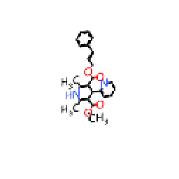 COC(=O)C1=C(C)NC(C)=C(C(=O)OC/C=C/c2ccccc2)C1c1ccccn1